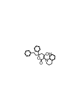 O=C1OC(CCc2ccccc2)(c2ccccc2)CC(O)=C1N1CCCc2ccccc21